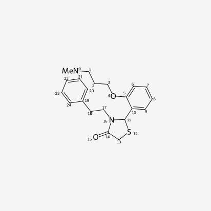 CNCCCOc1ccccc1C1SCC(=O)N1CCc1ccccc1